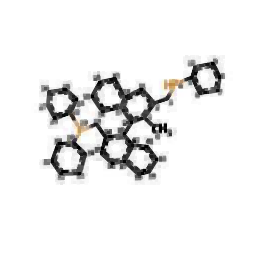 Cc1c(CPc2ccccc2)cc2ccccc2c1-c1c(CP(c2ccccc2)c2ccccc2)ccc2ccccc12